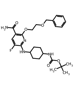 CC(C)(C)OC(=O)NC1CCC(Nc2nc(OCCOCc3ccccc3)c(C(N)=O)cc2F)CC1